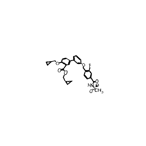 CS(=O)(=O)NC(=O)c1ccc(COc2cccc(-c3ccc(OCC4CC4)c(C(=O)OCC4CC4)c3)c2)c(F)c1